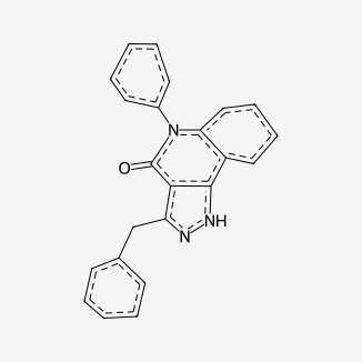 O=c1c2c(Cc3ccccc3)n[nH]c2c2ccccc2n1-c1ccccc1